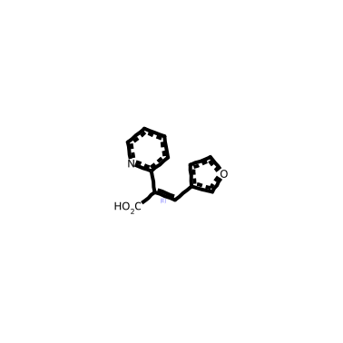 O=C(O)/C(=C/c1ccoc1)c1ccccn1